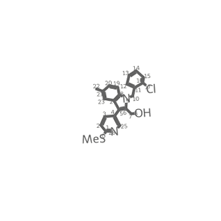 CSc1ccc(-c2c(CO)n(Cc3ccccc3Cl)c3ccc(C)cc23)cn1